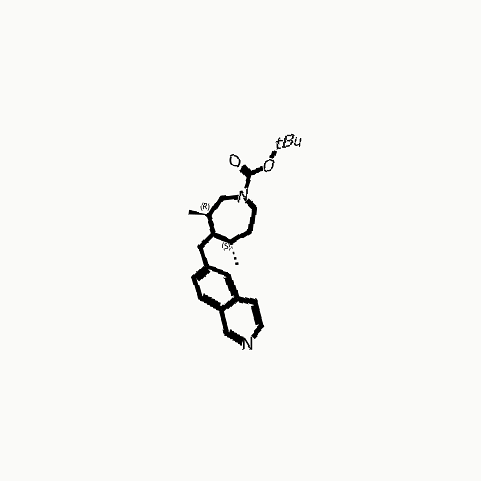 C[C@H]1CCN(C(=O)OC(C)(C)C)C[C@H](C)C1Cc1ccc2cnccc2c1